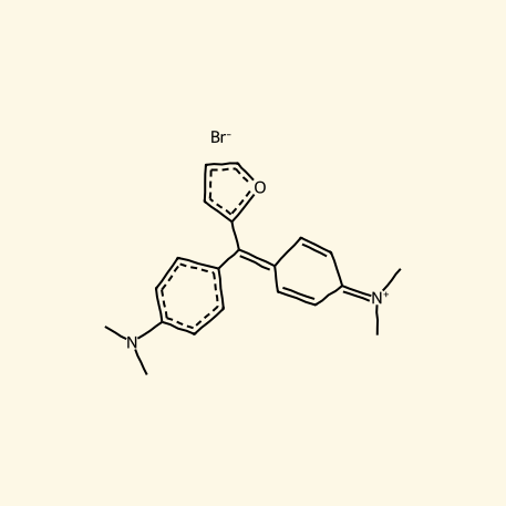 CN(C)c1ccc(C(=C2C=CC(=[N+](C)C)C=C2)c2ccco2)cc1.[Br-]